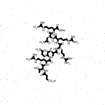 CNC(=O)C(CCCNC(=N)N)NC(=O)[C@H](CC(N)=O)NC(=O)C(CCCNC(=N)N)NC(=O)[C@H](CCCNC(=N)N)NC(=O)C(C)NC(=O)[C@H](CCC(N)=O)NC(=O)C(CCCNC(=N)N)NC(=O)[C@@H](NC(=O)CCC(=O)O)C(C)O